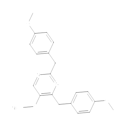 COc1ccc(Cc2ncc(SC)c(Cc3ccc(OC)cc3)n2)cc1.N